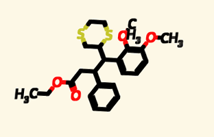 CCOC(=O)CC(c1ccccc1)C(c1cccc(OC)c1OC)C1CSCCS1